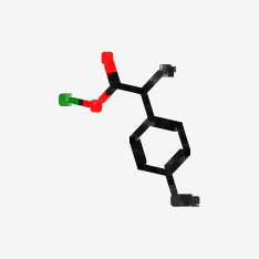 COc1ccc(C(C(=O)OCl)C(C)C)cc1